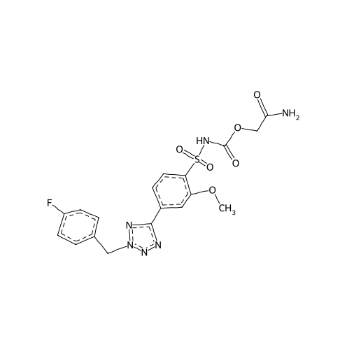 COc1cc(-c2nnn(Cc3ccc(F)cc3)n2)ccc1S(=O)(=O)NC(=O)OCC(N)=O